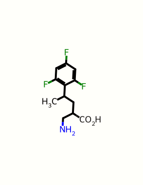 CC(CC(CN)C(=O)O)c1c(F)cc(F)cc1F